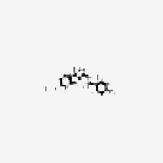 Cc1ccc2c(n1)sc1c(NC(=O)c3ccc(Br)cc3)n[nH]c12